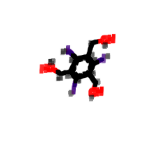 OCc1c(I)c(CO)c(I)c(CO)c1I